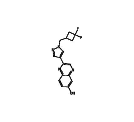 Oc1ccc2nc(-c3cnn(CC4CC(F)(F)C4)c3)cnc2c1